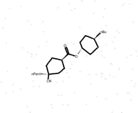 CCCCC[C@]1(C#N)CC[C@@H](C(=O)O[C@H]2CC[C@H](CCCC)CC2)CC1